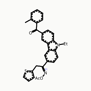 CCn1c2ccc(C(=O)c3ccccc3C)cc2c2cc(/C(Cc3cccs3)=N/OC(C)=O)ccc21